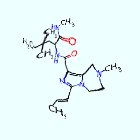 C/C=C/c1nc(C(=O)N[C@H](C(=O)NC)C(C)(C)C)c2n1CCN(C)C2